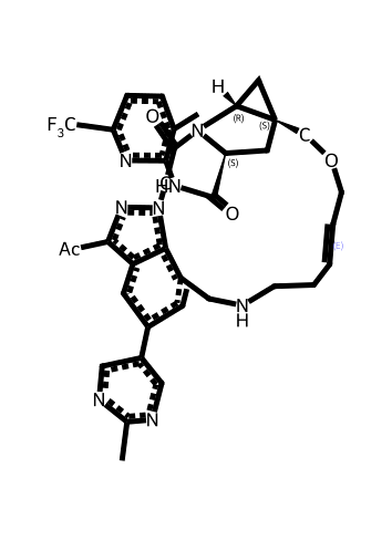 CC(=O)c1nn2c3c(cc(-c4cnc(C)nc4)cc13)CNCC/C=C/COC[C@@]13C[C@@H](C(=O)Nc4nc(C(F)(F)F)ccc4C)N(C(=O)C2)[C@@H]1C3